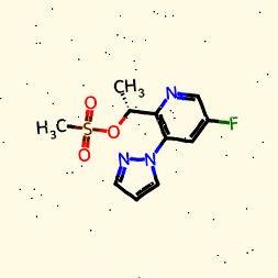 C[C@@H](OS(C)(=O)=O)c1ncc(F)cc1-n1cccn1